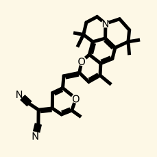 CC1=CC(=C(C#N)C#N)C=C(/C=C2\C=C(C)c3cc4c5c(c3O2)C(C)(C)CCN5CCC4(C)C)O1